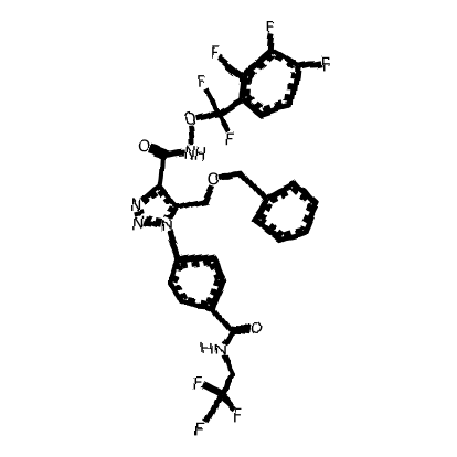 O=C(NCC(F)(F)F)c1ccc(-n2nnc(C(=O)NOC(F)(F)c3ccc(F)c(F)c3F)c2COCc2ccccc2)cc1